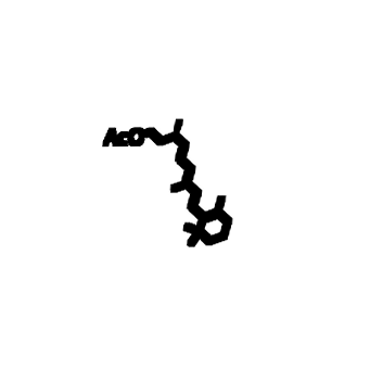 CC(=O)OCC[C@@H](C)/C=C/C=C(C)/C=C/C1=C(C)CCCC1(C)C